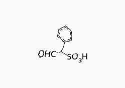 O=CC(c1ccccc1)S(=O)(=O)O